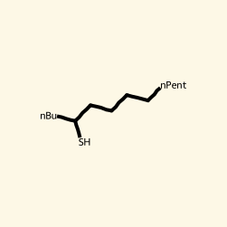 CCCCCCCCCC(S)CCCC